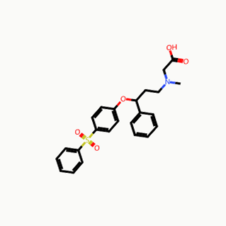 CN(CCC(Oc1ccc(S(=O)(=O)c2ccccc2)cc1)c1ccccc1)CC(=O)O